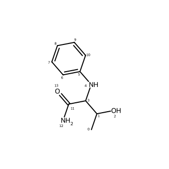 CC(O)C(Nc1ccccc1)C(N)=O